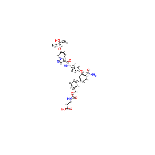 CC(C)(O)COc1ccc2c(C(=O)NC3CC4(C3)CC(Oc3cc(-c5cccc(COC(=O)NCCC(=O)O)c5)ccc3C(N)=O)C4)cnn2c1